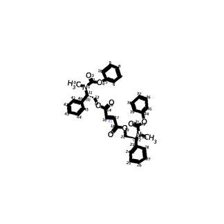 CN(C(=O)Oc1ccccc1)[C@H](COC(=O)/C=C/C(=O)OC[C@H](c1ccccc1)N(C)C(=O)Oc1ccccc1)c1ccccc1